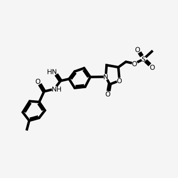 Cc1ccc(C(=O)NC(=N)c2ccc(N3CC(COS(C)(=O)=O)OC3=O)cc2)cc1